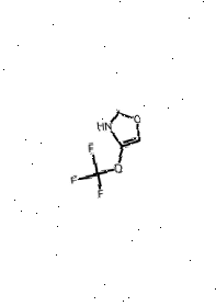 FC(F)(F)OC1=CO[C]N1